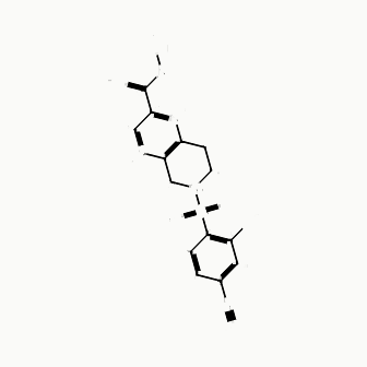 [C-]#[N+]c1ccc(S(=O)(=O)N2CCc3nc(C(=O)NO)cnc3C2)c(Cl)c1